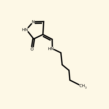 CCCCCNC=C1C=NNC1=O